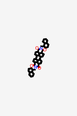 O=C1c2ccc3c4ccc5c6c(ccc(c7ccc(c2c37)C(=O)N1Cc1cccc2ccccc12)c64)C(=O)N(Cc1cccc2ccccc12)C5=O